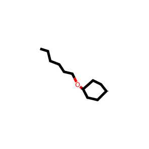 CCCCCCO[C]1CC[CH]CC1